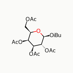 CC(=O)OC[C@H]1O[C@@H](OCC(C)C)[C@H](OC(C)=O)[C@@H](OC(C)=O)[C@H]1OC(C)=O